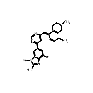 Cc1nc2c(F)cc(-c3cc(C=C(/N=C\CN)C4=CCN(C)CC4)ncn3)cc2n1C(C)C